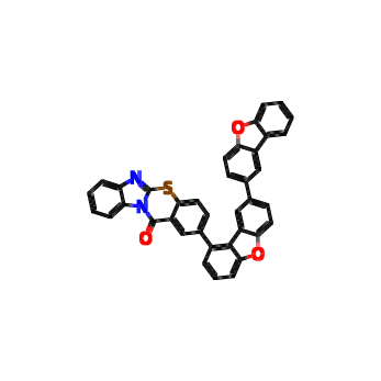 O=c1c2cc(-c3cccc4oc5ccc(-c6ccc7oc8ccccc8c7c6)cc5c34)ccc2sc2nc3ccccc3n12